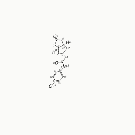 O=C1C[C@@H]2C[C@@H](CC(=O)Nc3ccc(Cl)cc3)C[C@@H]2C1